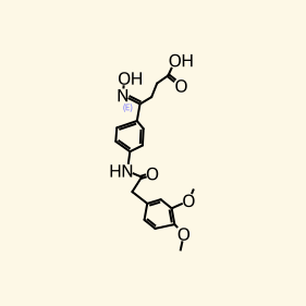 COc1ccc(CC(=O)Nc2ccc(/C(CCC(=O)O)=N/O)cc2)cc1OC